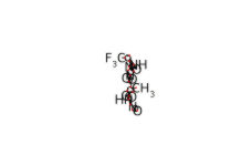 Cc1cc(S(=O)(=O)NCCN2CCOCC2)ccc1C=CS(=O)(=O)N1CCC2(CC1)N=C(c1cccc(C(F)(F)F)c1)NC2=O